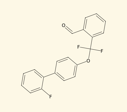 O=Cc1ccccc1C(F)(F)Oc1ccc(-c2ccccc2F)cc1